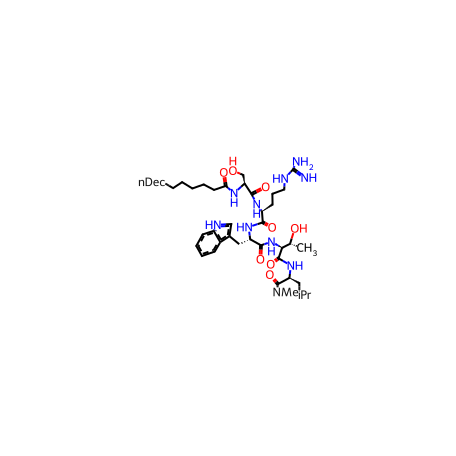 CCCCCCCCCCCCCCCC(=O)N[C@@H](CO)C(=O)N[C@@H](CCCNC(=N)N)C(=O)N[C@@H](Cc1c[nH]c2ccccc12)C(=O)N[C@H](C(=O)N[C@@H](CC(C)C)C(=O)NC)[C@@H](C)O